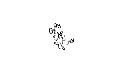 CN(C(=O)O)C1(C)C=C(C#N)C(=O)C(C)(C)C1